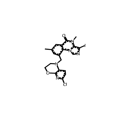 Cc1cc(CN2CCOc3nc(Cl)ccc32)c2c(c1)c(=O)n(C)c1c(I)ncn21